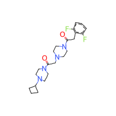 O=C(Cc1c(F)cccc1F)N1CCN(CC(=O)N2CCN(C3CCC3)CC2)CC1